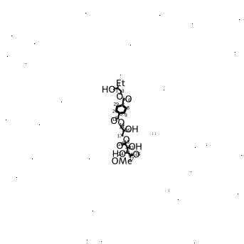 CCC(O)COC(=O)c1ccc(C(=O)OCC(O)COC(=O)C(O)C(O)C(=O)OC)cc1